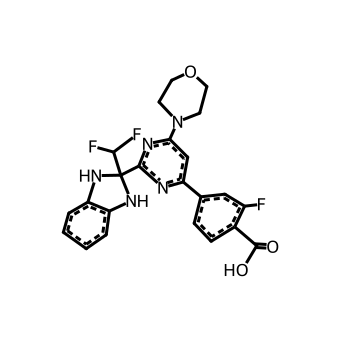 O=C(O)c1ccc(-c2cc(N3CCOCC3)nc(C3(C(F)F)Nc4ccccc4N3)n2)cc1F